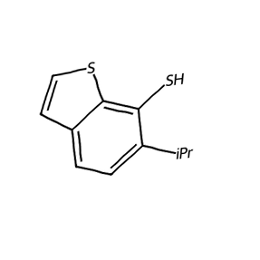 CC(C)c1ccc2ccsc2c1S